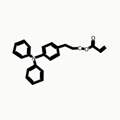 C=CC(=O)OCCCc1ccc(N(c2ccccc2)c2ccccc2)cc1